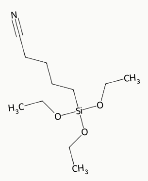 CCO[Si](CCCCC#N)(OCC)OCC